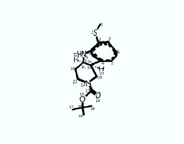 CSc1cccc2c1N[C@@H]1CCN(C(=O)OC(C)(C)C)C[C@H]21